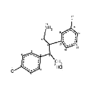 CC(c1ccc(Cl)cc1)C(CN)c1cncc(F)c1.Cl